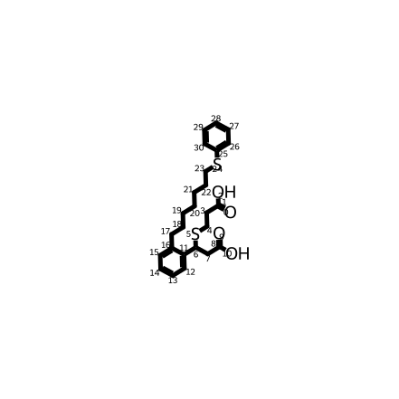 O=C(O)CCSC(CC(=O)O)c1ccccc1CCCCCCCSc1ccccc1